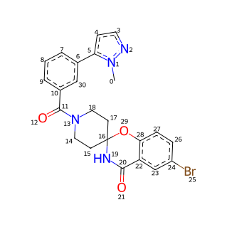 Cn1nccc1-c1cccc(C(=O)N2CCC3(CC2)NC(=O)c2cc(Br)ccc2O3)c1